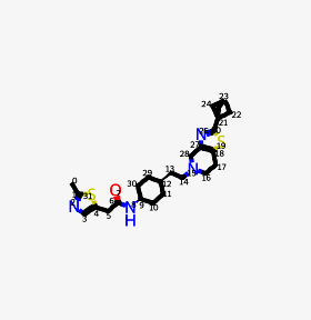 Cc1ncc(CC(=O)N[C@H]2CC[C@H](CCN3CCc4sc(C56CC(C5)C6)nc4C3)CC2)s1